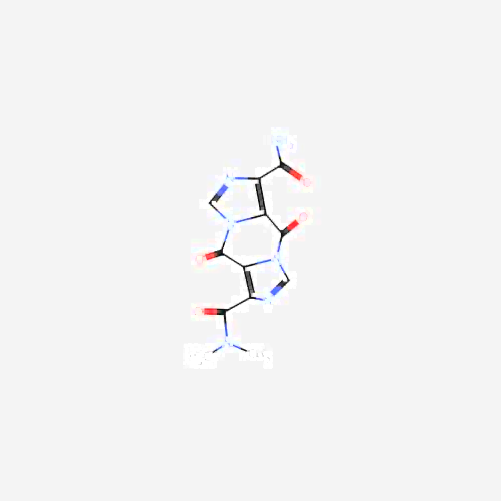 CN(C)C(=O)c1ncn2c(=O)c3c(C(N)=O)ncn3c(=O)c12